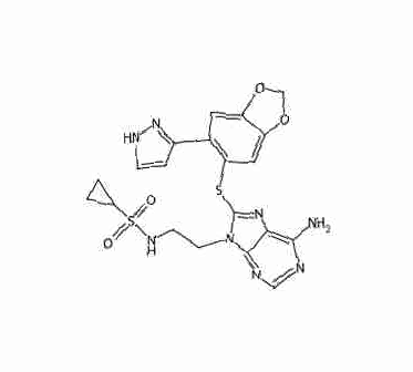 Nc1ncnc2c1nc(Sc1cc3c(cc1-c1cc[nH]n1)OCO3)n2CCNS(=O)(=O)C1CC1